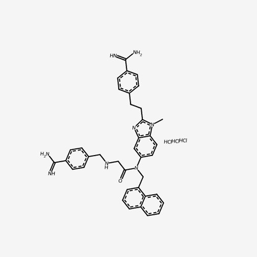 Cl.Cl.Cl.Cn1c(CCc2ccc(C(=N)N)cc2)nc2cc(N(Cc3cccc4ccccc34)C(=O)CNCc3ccc(C(=N)N)cc3)ccc21